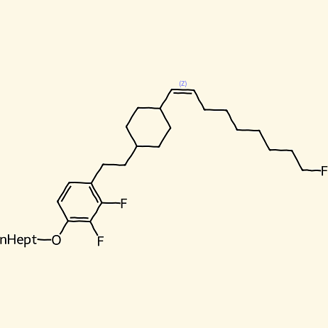 CCCCCCCOc1ccc(CCC2CCC(/C=C\CCCCCCCF)CC2)c(F)c1F